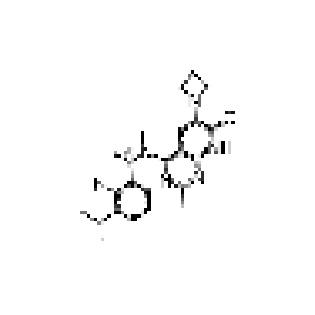 Cc1nc(N[C@H](C)c2cccc(C(C)F)c2F)c2cc(N3CCC3)c(=O)[nH]c2n1